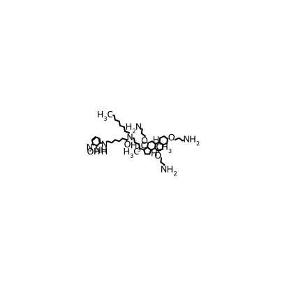 CCCCCCCCN(CCC[C@@H](C)C1CC[C@H]2C3[C@H](OCCCN)CC4C[C@H](OCCCN)CCC4(C)[C@H]3C[C@H](OCCCN)C12C)C(=O)CCCCCNC1=CC=C/C(=N/O)C1=N